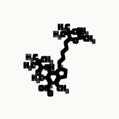 Cc1c2c(c(NC(=O)C(C)(C)C)c(C)c1[N+](=O)[O-])N(CCCCCC(O[SiH](C)C)C(C)(C)C)CC2